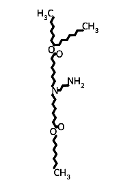 CCCCCCCCCOC(=O)CCCCCCCN(CCCN)CCCCCCCC(=O)OC(CCCCCCC)CCCCCCCC